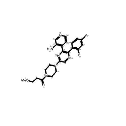 COCCC(=O)N1CCN(c2cnc(-c3ccc(F)cc3F)c(-c3ccncc3N)n2)CC1